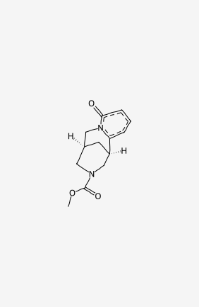 COC(=O)N1C[C@@H]2C[C@H](C1)c1cccc(=O)n1C2